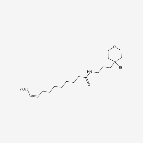 CCCCCCCC/C=C\CCCCCCCC(=O)NCCC[N+]1(CC)CCOCC1